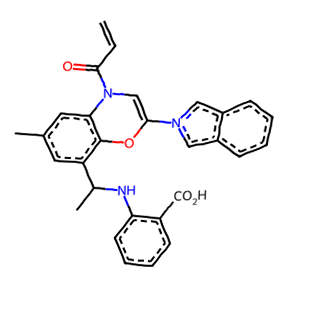 C=CC(=O)N1C=C(n2cc3ccccc3c2)Oc2c(C(C)Nc3ccccc3C(=O)O)cc(C)cc21